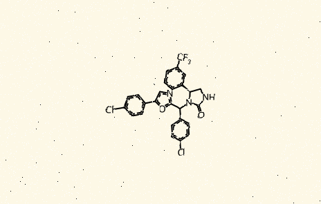 O=C1NC[C@H](c2cccc(C(F)(F)F)c2)N1C(c1ccc(Cl)cc1)c1ncc(-c2ccc(Cl)cc2)o1